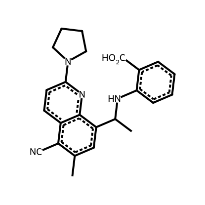 Cc1cc(C(C)Nc2ccccc2C(=O)O)c2nc(N3CCCC3)ccc2c1C#N